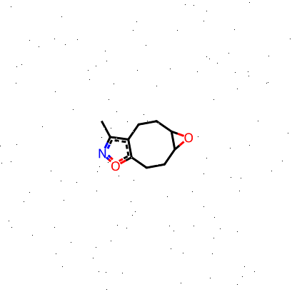 Cc1noc2c1CCC1OC1CC2